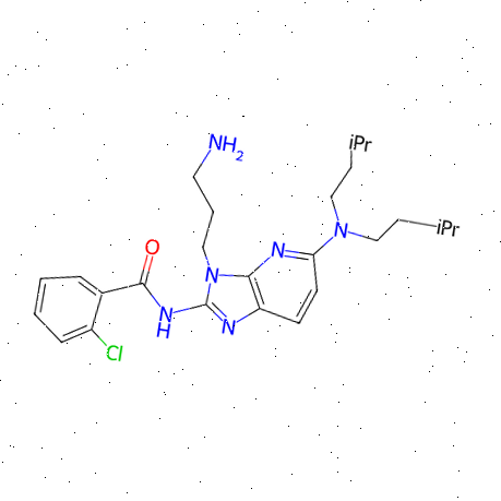 CC(C)CCN(CCC(C)C)c1ccc2nc(NC(=O)c3ccccc3Cl)n(CCCN)c2n1